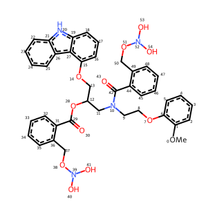 COc1ccccc1OCCN(CC(COc1cccc2[nH]c3ccccc3c12)OC(=O)c1ccccc1CON(O)O)C(=O)c1ccccc1CON(O)O